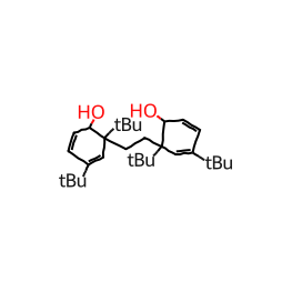 CC(C)(C)C1=CC(CCC2(C(C)(C)C)C=C(C(C)(C)C)C=CC2O)(C(C)(C)C)C(O)C=C1